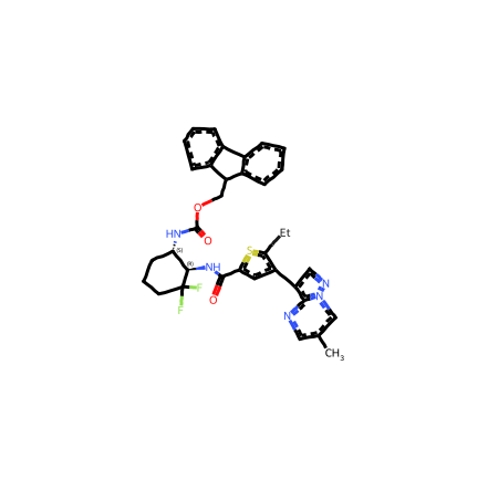 CCc1sc(C(=O)N[C@@H]2[C@@H](NC(=O)OCC3c4ccccc4-c4ccccc43)CCCC2(F)F)cc1-c1cnn2cc(C)cnc12